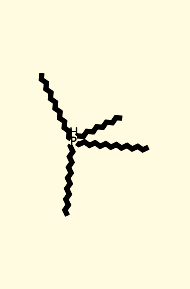 CCCCCCCCCCCCCC[PH](CCCCCCCCCC)(CCCCCCCCCCCCCC)CCCCCCCCCCCCCC